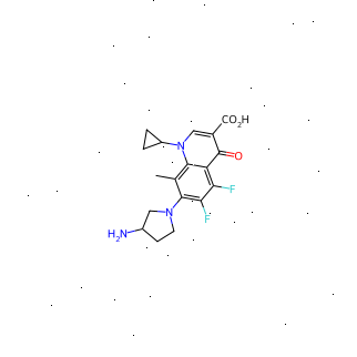 Cc1c(N2CCC(N)C2)c(F)c(F)c2c(=O)c(C(=O)O)cn(C3CC3)c12